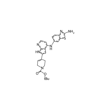 CC(C)(C)OC(=O)N1CC=C(c2cc3c(Nc4ccc5nc(N)sc5c4)ccnc3[nH]2)CC1